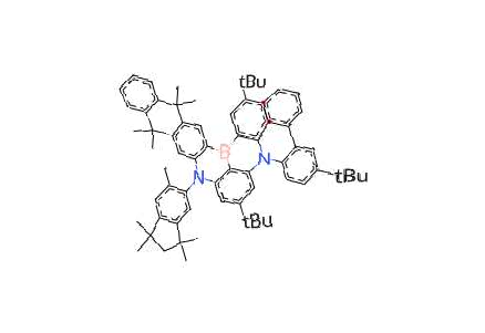 Cc1cc2c(cc1N1c3cc4c(cc3B3c5cc(C(C)(C)C)ccc5N(c5ccc(C(C)(C)C)cc5-c5ccccc5)c5cc(C(C)(C)C)cc1c53)C(C)(C)c1ccccc1C4(C)C)C(C)(C)CC2(C)C